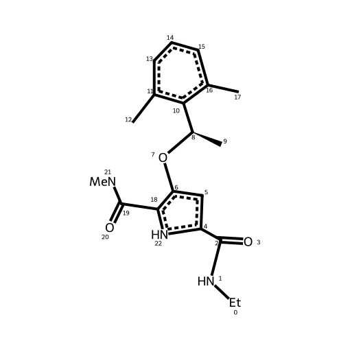 CCNC(=O)c1cc(O[C@H](C)c2c(C)cccc2C)c(C(=O)NC)[nH]1